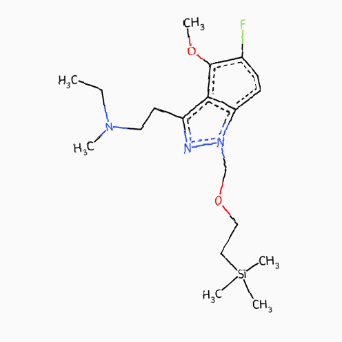 CCN(C)CCc1nn(COCC[Si](C)(C)C)c2ccc(F)c(OC)c12